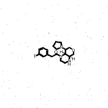 O=C(Cc1cccc(F)c1)N1CCN[C@@H]2COCC(N3CCCC3)[C@H]21